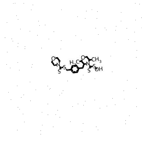 CC1OCC(C)N(C(=S)SO)C1Cc1ccc(CSC(=S)N2CCOCC2)cc1